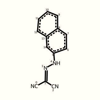 N#CC(C#N)=NNc1ccc2ccccc2c1